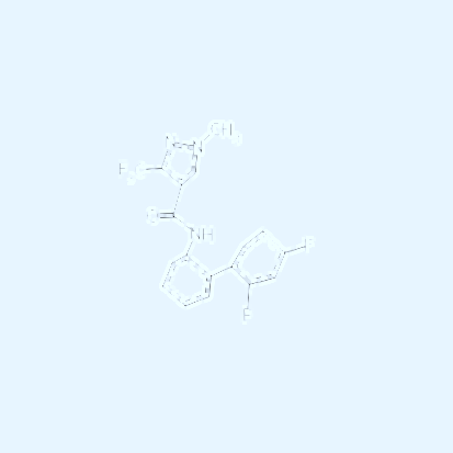 Cn1cc(C(=O)Nc2ccccc2-c2ccc(F)cc2F)c(C(F)(F)F)n1